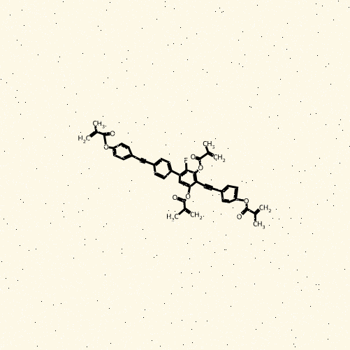 C=C(C)C(=O)Oc1ccc(C#Cc2ccc(-c3cc(OC(=O)C(=C)C)c(C#Cc4ccc(OC(=O)C(=C)C)cc4)c(OC(=O)C(=C)C)c3F)cc2)cc1